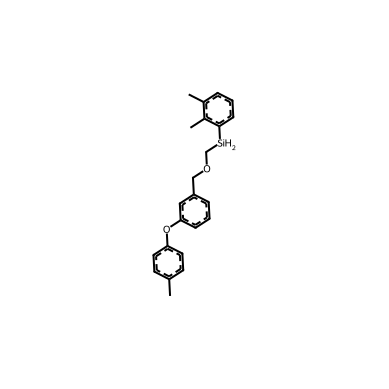 Cc1ccc(Oc2cccc(COC[SiH2]c3cccc(C)c3C)c2)cc1